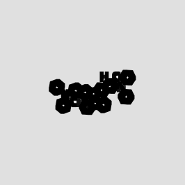 Cc1ccccc1N(c1ccccc1)c1ccc2cc3c(cc2c1)C1(c2ccccc2-c2ccccc21)c1cc2cc(N(c4ccccc4)c4ccccc4C)ccc2cc1-3